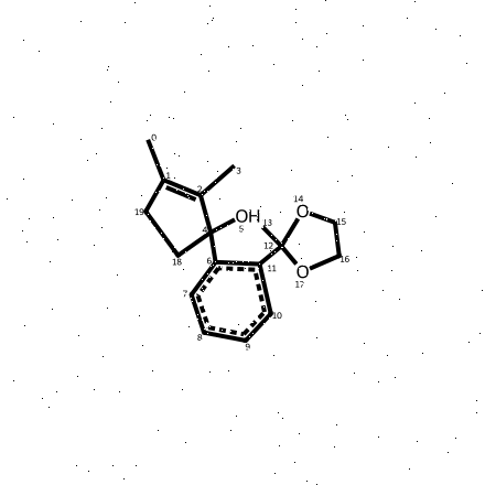 CC1=C(C)C(O)(c2ccccc2C2(C)OCCO2)CC1